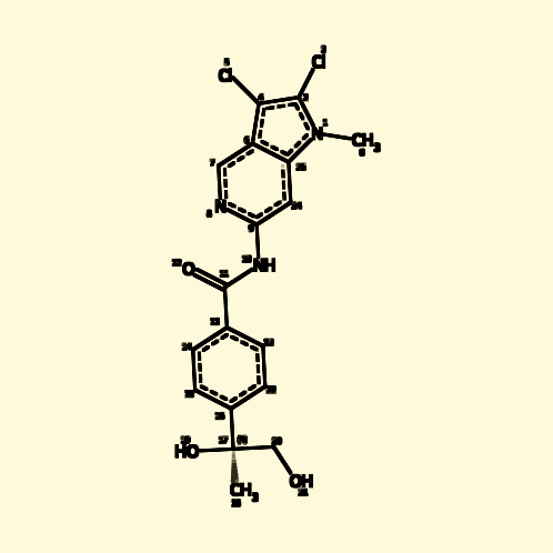 Cn1c(Cl)c(Cl)c2cnc(NC(=O)c3ccc([C@](C)(O)CO)cc3)cc21